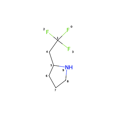 FC(F)(F)CC1CCCN1